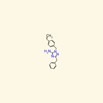 C=Cc1ccc(Cn2nc(Cc3ccccc3)nc2N)cc1